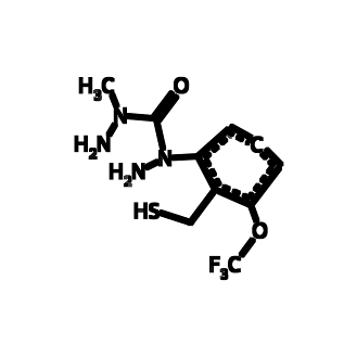 CN(N)C(=O)N(N)c1cccc(OC(F)(F)F)c1CS